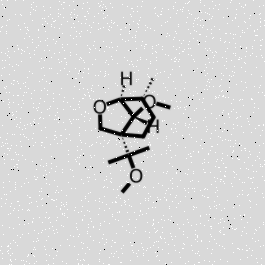 CO[C@H]1[C@H]2OC[C@]1(C(C)(C)OC)CC[C@H]2C